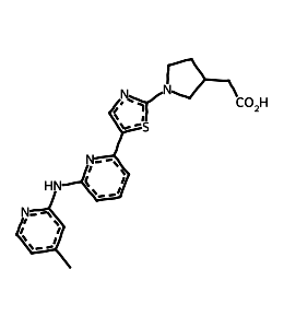 Cc1ccnc(Nc2cccc(-c3cnc(N4CCC(CC(=O)O)C4)s3)n2)c1